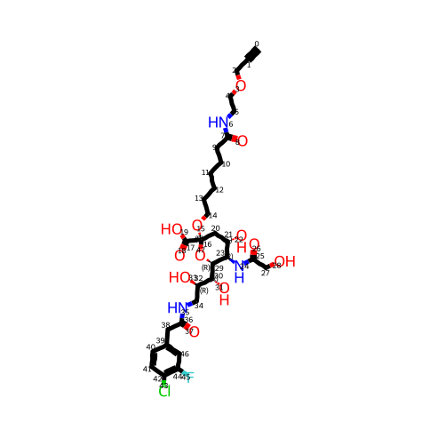 C#CCOCCNC(=O)CCCCCCO[C@]1(C(=O)O)C[C@H](O)[C@@H](NC(=O)CO)[C@H]([C@H](O)[C@H](O)CNC(=O)Cc2ccc(Cl)c(F)c2)O1